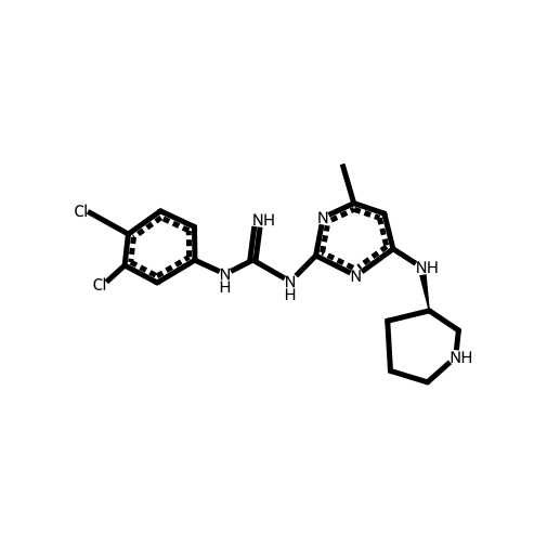 Cc1cc(N[C@@H]2CCCNC2)nc(NC(=N)Nc2ccc(Cl)c(Cl)c2)n1